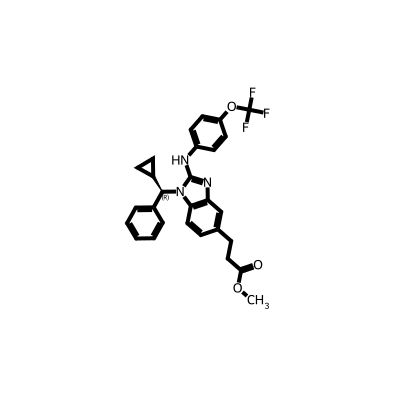 COC(=O)CCc1ccc2c(c1)nc(Nc1ccc(OC(F)(F)F)cc1)n2[C@@H](c1ccccc1)C1CC1